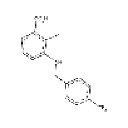 Cc1c(NCc2ccc(C(F)(F)F)cc2)cccc1C(=O)O